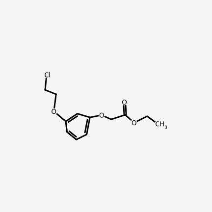 CCOC(=O)COc1cccc(OCCCl)c1